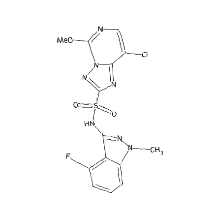 COc1ncc(Cl)c2nc(S(=O)(=O)Nc3nn(C)c4cccc(F)c34)nn12